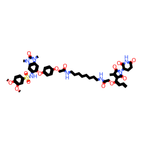 C=C/C=C(/OCC(=O)NCCCCCCCCNC(=O)COc1ccc(Oc2cc3c(cc2NS(=O)(=O)c2ccc(OC)c(OC)c2)n(C)c(=O)n3C)cc1)C1=C(C)C(=O)N(C2CCC(=O)NC2=O)C1=O